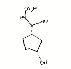 CC(C)(C)C(NC(=O)O)[C@H]1CC[C@@H](O)C1